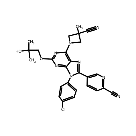 CC(C)(O)COc1nc(N2CC(C)(C#N)C2)c2nc(-c3ccc(C#N)nc3)n(-c3ccc(Cl)cc3)c2n1